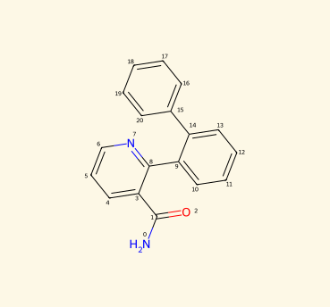 NC(=O)c1cccnc1-c1ccccc1-c1ccccc1